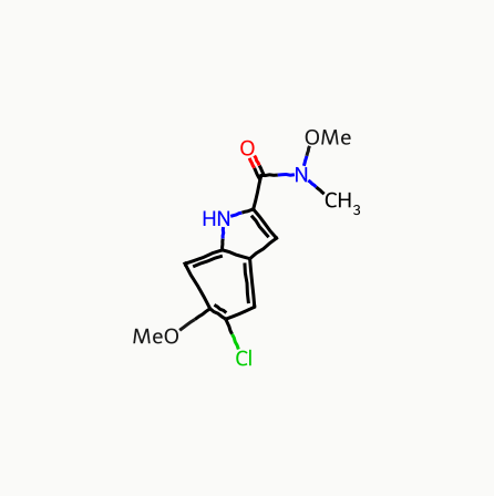 COc1cc2[nH]c(C(=O)N(C)OC)cc2cc1Cl